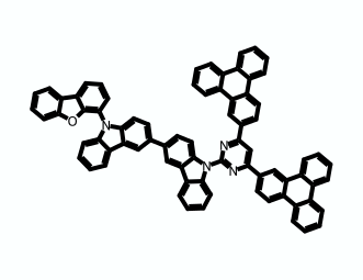 c1ccc2c(c1)oc1c(-n3c4ccccc4c4cc(-c5ccc6c(c5)c5ccccc5n6-c5nc(-c6ccc7c8ccccc8c8ccccc8c7c6)cc(-c6ccc7c8ccccc8c8ccccc8c7c6)n5)ccc43)cccc12